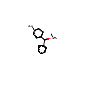 CNC.COc1ccc(C(=O)c2ccccc2)cc1